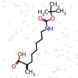 C=C(CCCCCCNC(=O)OC(C)(C)C)C(=O)O